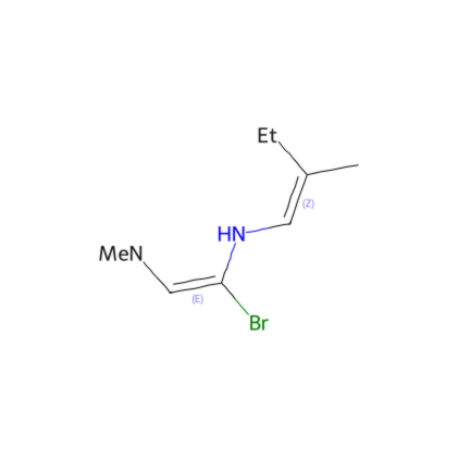 CC/C(C)=C\N/C(Br)=C\NC